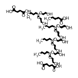 CCCCC(=O)O.CCCCN(OCCO)OCCO.CCCCN(OCCO)OCCO.CCCCN(OCCO)OCCO.CCCCN(OCCO)OCCO.O=C(O)CCC(=O)O.O=C(O)CCCC(=O)O